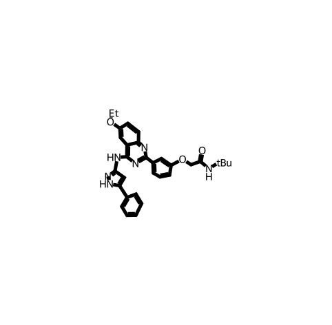 CCOc1ccc2nc(-c3cccc(OCC(=O)NC(C)(C)C)c3)nc(Nc3cc(-c4ccccc4)[nH]n3)c2c1